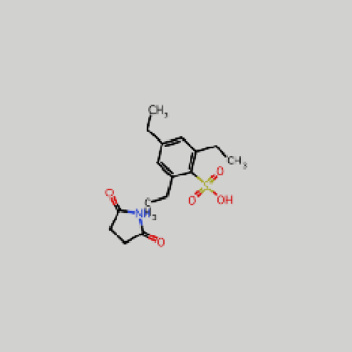 CCc1cc(CC)c(S(=O)(=O)O)c(CC)c1.O=C1CCC(=O)N1